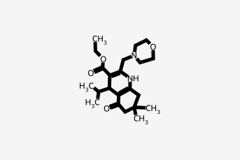 CCOC(=O)C1=C(CN2CCOCC2)NC2=C(C(=O)CC(C)(C)C2)C1C(C)C